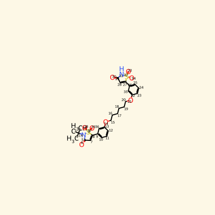 CC(C)(C)N1C(=O)C=C(c2cccc(OCCCCCCOc3cccc(C4=CC(=O)NS4(=O)=O)c3)c2)S1(=O)=O